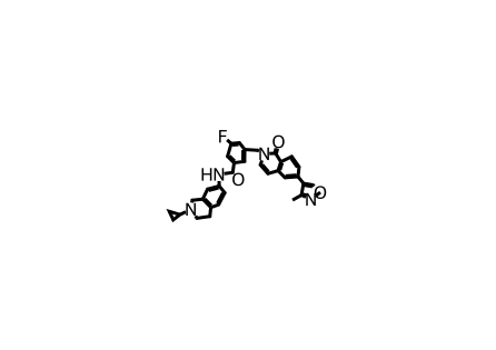 Cc1nocc1-c1ccc2c(=O)n(Cc3cc(F)cc(C(=O)Nc4ccc5c(c4)CN(C4CC4)CC5)c3)ccc2c1